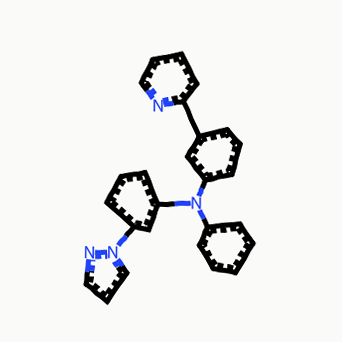 c1ccc(N(c2cccc(-c3ccccn3)c2)c2cccc(-n3cccn3)c2)cc1